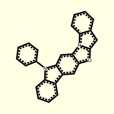 c1ccc(-n2c3ccccc3c3cc4oc5cc6ccccc6n5c4cc32)cc1